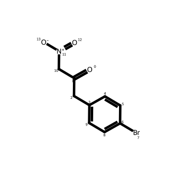 O=C(Cc1ccc(Br)cc1)C[N+](=O)[O-]